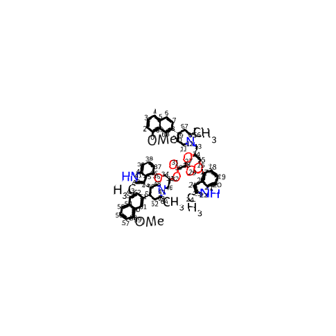 COc1cccc2ccc([C@H]3CCN(C[C@@H](COc4cccc5[nH]c(C)cc45)OC(=O)C(=O)O[C@H](COc4cccc5[nH]c(C)cc45)CN4CC[C@H](c5ccc6cccc(OC)c6c5)C[C@H]4C)[C@H](C)C3)cc12